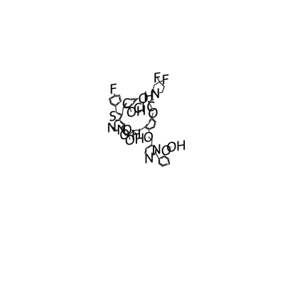 O=C(O)[C@H]1Cc2cc(ccc2OCc2ccnc(-c3ccccc3OO)n2)OC[C@@H](CN2CCC(F)(F)CC2)Oc2ccc(c(O)c2Cl)-c2c(-c3ccc(F)cc3)sc3ncnc(c23)O1